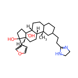 C[C@]12CC(CCC3=NCCN3)CCC1CC[C@@H]1[C@H]2CC[C@]2(C)C(O)(c3ccoc3)CC[C@@]12O